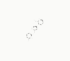 Nc1ncccc1-c1cc(Cc2cccc(F)n2)no1